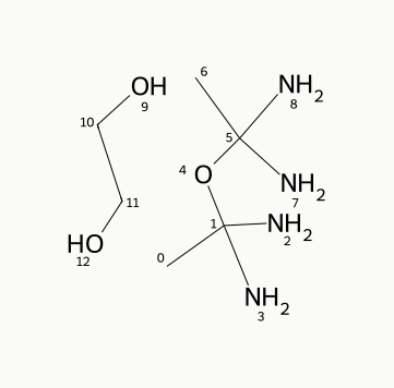 CC(N)(N)OC(C)(N)N.OCCO